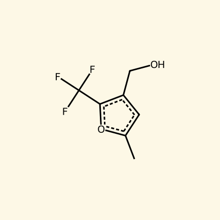 Cc1cc(CO)c(C(F)(F)F)o1